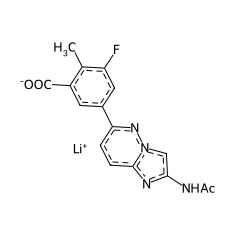 CC(=O)Nc1cn2nc(-c3cc(F)c(C)c(C(=O)[O-])c3)ccc2n1.[Li+]